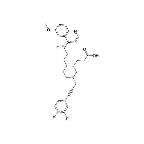 COc1ccc2nccc([C@@H](F)CCC3CCN(CC#Cc4ccc(F)c(Cl)c4)CC3CCC(=O)O)c2c1